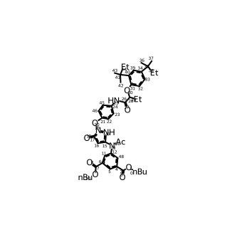 CCCCOC(=O)c1cc(C(=O)OCCCC)cc(N(C(C)=O)c2cc(=O)n(Oc3ccc(NC(=O)C(CC)Oc4ccc(C(C)(C)CC)cc4C(C)(C)CC)cc3)[nH]2)c1